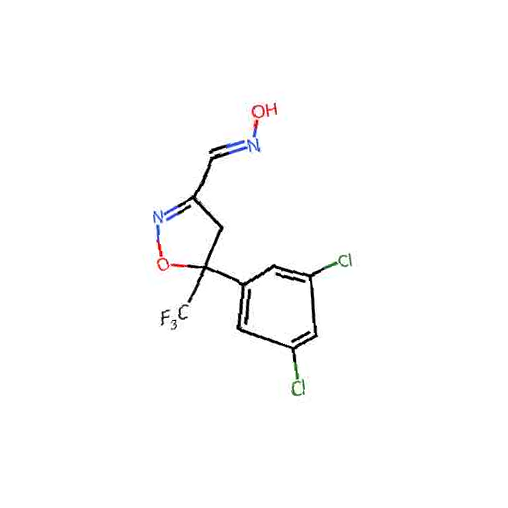 ON=CC1=NOC(c2cc(Cl)cc(Cl)c2)(C(F)(F)F)C1